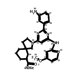 CNC(=O)C1CCCC2(CCN(c3cc(Nc4cc(OC(F)(F)F)ccn4)nc(-c4cccc(N)c4)n3)C2)C1